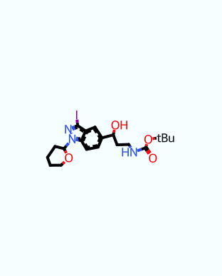 CC(C)(C)OC(=O)NCCC(O)c1ccc2c(c1)c(I)nn2C1CCCCO1